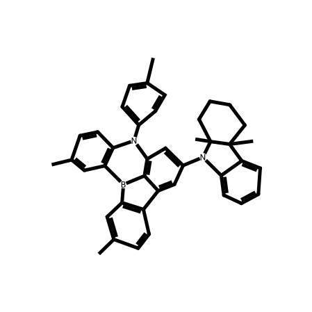 Cc1ccc(N2c3ccc(C)cc3B3c4cc(C)ccc4-c4cc(N5c6ccccc6C6(C)CCCCC56C)cc2c43)cc1